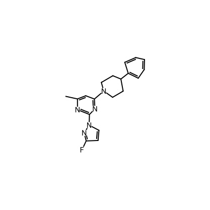 Cc1cc(N2CCC(c3ccccc3)CC2)nc(-n2ccc(F)n2)n1